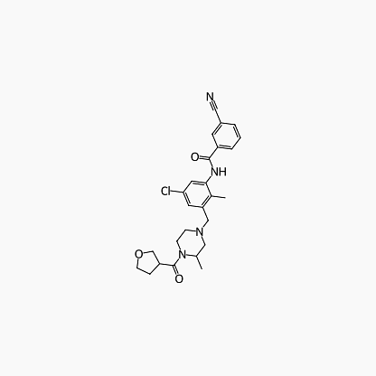 Cc1c(CN2CCN(C(=O)C3CCOC3)C(C)C2)cc(Cl)cc1NC(=O)c1cccc(C#N)c1